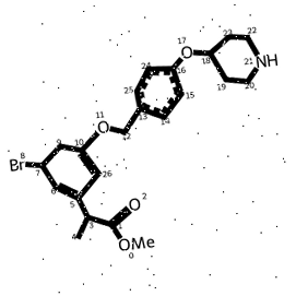 COC(=O)C(C)C1=CC(Br)CC(OCc2ccc(OC3CCNCC3)cc2)=C1